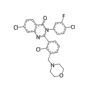 O=c1c2ccc(Cl)cc2nc(-c2cccc(CN3CCOCC3)c2Cl)n1-c1ccc(Cl)c(F)c1